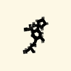 CCN(C)C=Nc1cc(OC)c(C2(C(F)(F)F)C=CCO2)cc1C